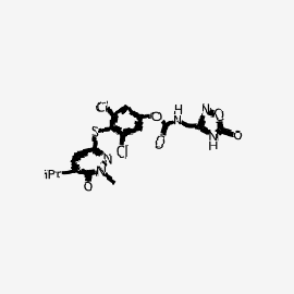 CC(C)c1cc(Sc2c(Cl)cc(OC(=O)NCc3noc(=O)[nH]3)cc2Cl)nn(C)c1=O